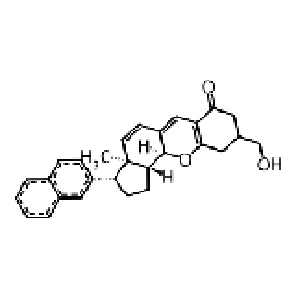 C[C@]12C=CC3=CC4=C(CC(CO)CC4=O)O[C@H]3[C@@H]1CC[C@@H]2c1ccc2ccccc2c1